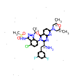 C[C@@H]1CN(c2ccc3c(=O)n(-c4ccc(Cl)c5c(NS(C)(=O)=O)nn(CC(F)(F)F)c45)c([C@@H](N)Cc4cc(F)cc(F)c4)nc3n2)C[C@H](C)O1